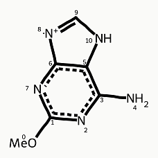 COc1nc(N)c2c(n1)[N+]=CN2